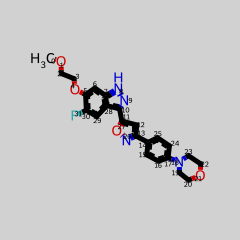 COCCOc1cc2[nH]nc(-c3cc(-c4ccc(N5CCOCC5)cc4)no3)c2cc1F